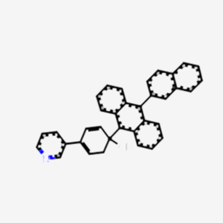 CC1(c2c3ccccc3c(-c3ccc4ccccc4c3)c3ccccc23)C=CC(c2cccnc2)=CC1